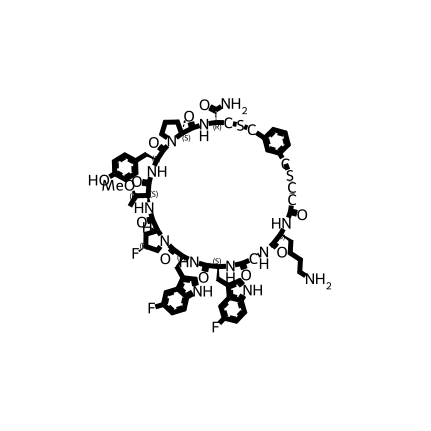 CO[C@H](C)[C@@H]1NC(=O)[C@@H]2C[C@@H](F)CN2C(=O)[C@H](Cc2c[nH]c3ccc(F)cc23)NC(=O)[C@H](Cc2c[nH]c3ccc(F)cc23)NC(=O)CNC(=O)[C@H](CCCCN)NC(=O)CCSCc2cccc(c2)CSC[C@@H](C(N)=O)NC(=O)[C@]2(C)CCCN2C(=O)[C@H](Cc2ccc(O)cc2)NC1=O